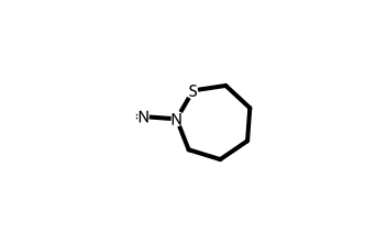 [N]N1CCCCCS1